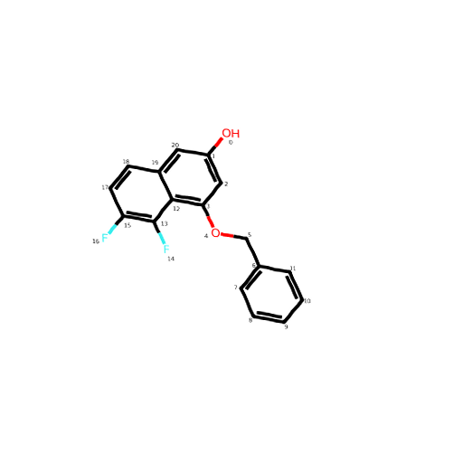 Oc1cc(OCc2ccccc2)c2c(F)c(F)ccc2c1